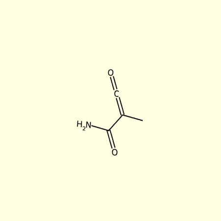 CC(=C=O)C(N)=O